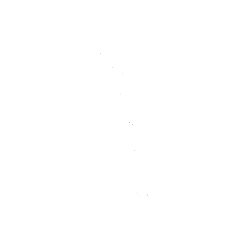 CNC(=O)NC(C(=O)N1CC(O)CC1C(=O)NC(C)c1ccc(-c2ocnc2C)cc1)C(C)(C)C